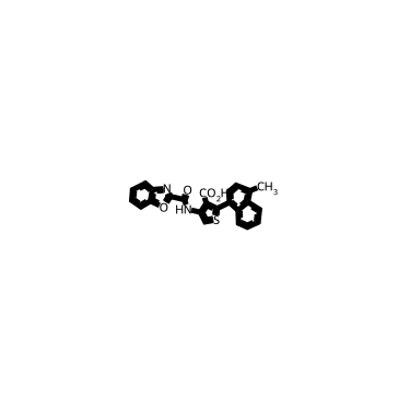 Cc1ccc(-c2scc(NC(=O)c3nc4ccccc4o3)c2C(=O)O)c2ccccc12